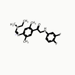 CCN(C)/C=N\c1cc(C)c(C(=O)CNc2ccc(F)c(F)c2)cc1C